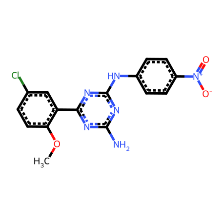 COc1ccc(Cl)cc1-c1nc(N)nc(Nc2ccc([N+](=O)[O-])cc2)n1